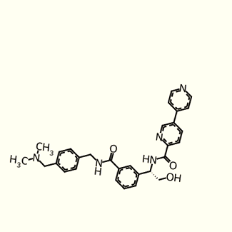 CN(C)Cc1ccc(CNC(=O)c2cccc([C@@H](CO)NC(=O)c3ccc(-c4ccncc4)cn3)c2)cc1